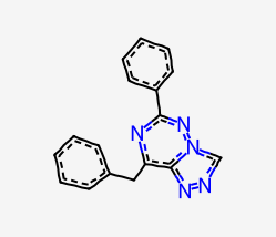 c1ccc(Cc2nc(-c3ccccc3)nn3cnnc23)cc1